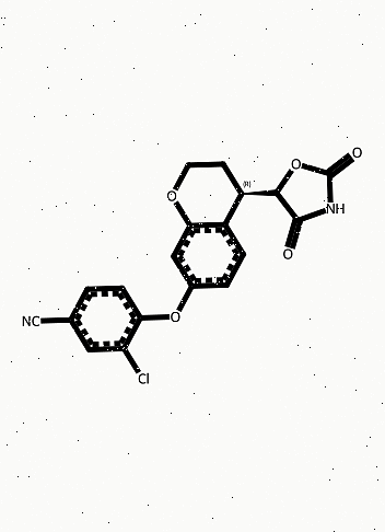 N#Cc1ccc(Oc2ccc3c(c2)OCC[C@H]3C2OC(=O)NC2=O)c(Cl)c1